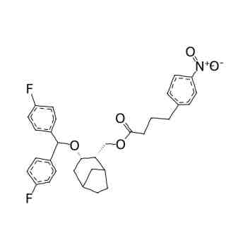 O=C(CCCc1ccc([N+](=O)[O-])cc1)OC[C@@H]1C2CCC(C2)C[C@@H]1OC(c1ccc(F)cc1)c1ccc(F)cc1